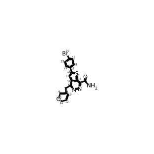 NC(=O)c1nnc(CC2=COCC=C2)c2cc(-c3ccc(Br)cc3)sc12